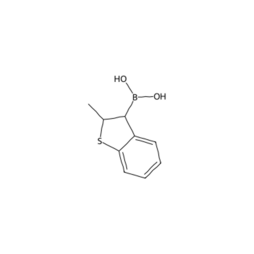 CC1Sc2ccccc2C1B(O)O